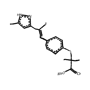 COC(=O)C(C)(C)Sc1ccc(C=C(F)c2cc(C)[nH]n2)cc1